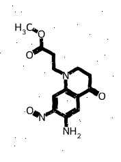 COC(=O)CCN1CCC(=O)c2cc(N)c(N=O)cc21